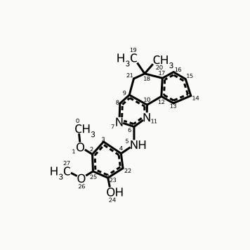 COc1cc(Nc2ncc3c(n2)-c2ccccc2C(C)(C)C3)cc(O)c1OC